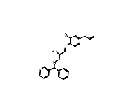 C=CCc1ccc(OCC(O)CNC(c2ccccc2)c2ccccc2)c(OC)c1